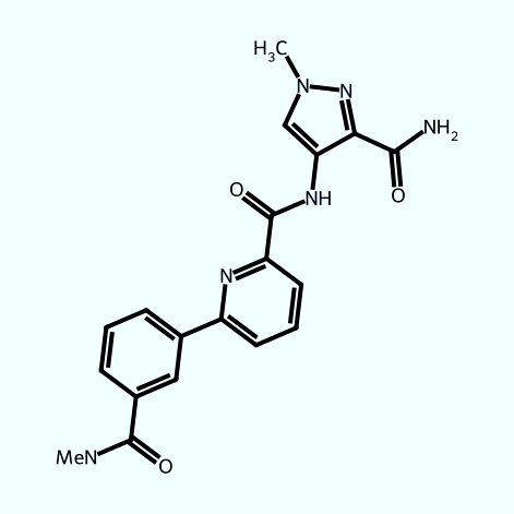 CNC(=O)c1cccc(-c2cccc(C(=O)Nc3cn(C)nc3C(N)=O)n2)c1